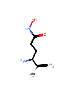 C=C(C(N)CCC(=O)NO)[C@@H](C)CC